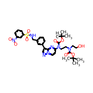 CC(C)(C)OC(=O)N(CCO)CCN(C(=O)OC(C)(C)C)c1ccn2ncc(-c3cccc(CNS(=O)(=O)c4cccc([N+](=O)[O-])c4)c3)c2n1